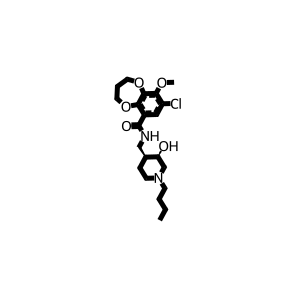 CCCCN1CC[C@@H](CNC(=O)c2cc(Cl)c(OC)c3c2OCCCO3)[C@H](O)C1